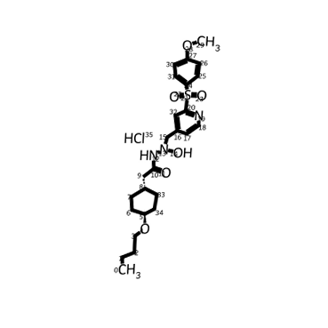 CCCCO[C@H]1CC[C@H](CC(=O)NN(O)Cc2ccnc(S(=O)(=O)c3ccc(OC)cc3)c2)CC1.Cl